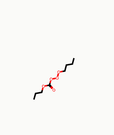 CCCCOOOC(=O)OCCC